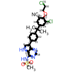 CC(C)(c1ccc(-c2c[nH]c3c(NS(C)(=O)=O)ncnc23)cc1)c1cc(Cl)c(OCCCl)c(C#N)c1